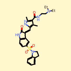 CCN(CC)CCNC(=O)c1c(C)[nH]c(/C=C2\C(=O)Nc3ccc(S(=O)(=O)N4CCc5ccccc54)cc32)c1C